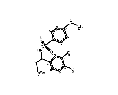 CNCC(NS(=O)(=O)c1ccc(OC(F)(F)F)cc1)c1ccc(Cl)c(Cl)c1